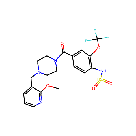 COc1ncccc1CN1CCN(C(=O)c2ccc(N[SH](=O)=O)c(OC(F)(F)F)c2)CC1